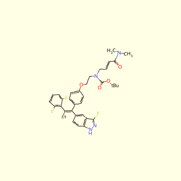 CC/C(=C(/c1ccc(OCCN(C/C=C/C(=O)N(C)C)C(=O)OC(C)(C)C)cc1)c1ccc2[nH]nc(F)c2c1)c1c(F)cccc1F